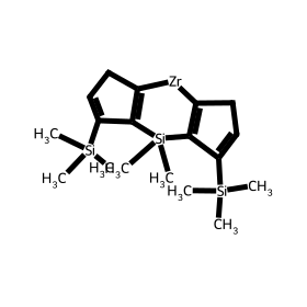 C[Si](C)(C)C1=CC[C]2=C1[Si](C)(C)C1=[C](CC=C1[Si](C)(C)C)[Zr]2